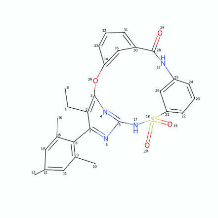 CCc1c2nc(nc1-c1c(C)cc(C)cc1C)NS(=O)(=O)c1cccc(c1)NC(=O)c1cccc(c1)O2